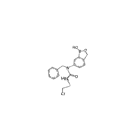 O=C(NCCCl)N(Cc1ccccc1)c1ccc2c(c1)B(O)OC2